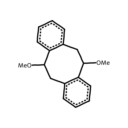 COC1Cc2ccccc2C(OC)Cc2ccccc21